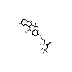 CC1(C)c2cc(OCCN3CC[N+](C)(C)CC3=O)ccc2C(=O)c2c1oc1ccccc21